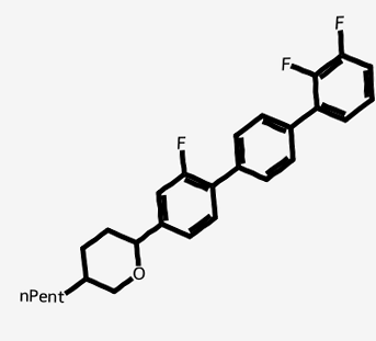 CCCCCC1CCC(c2ccc(-c3ccc(-c4cccc(F)c4F)cc3)c(F)c2)OC1